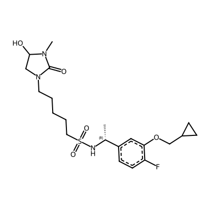 C[C@@H](NS(=O)(=O)CCCCCN1CC(O)N(C)C1=O)c1ccc(F)c(OCC2CC2)c1